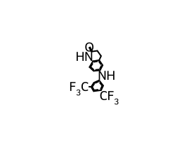 O=C1CCc2cc(Nc3cc(C(F)(F)F)cc(C(F)(F)F)c3)ccc2N1